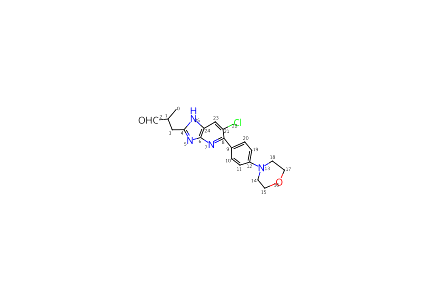 CC(C=O)Cc1nc2nc(-c3ccc(N4CCOCC4)cc3)c(Cl)cc2[nH]1